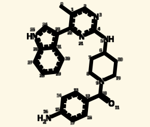 Cc1cnc(NC2CCN(C(=O)c3ccc(N)cc3)CC2)nc1-c1c[nH]c2ccccc12